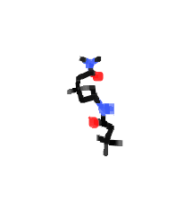 CN(C)C(=O)CC1(C)CC(NC(=O)CC(C)(C)C)C1